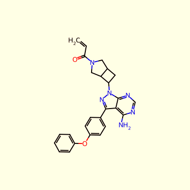 C=CC(=O)N1CC2CC(n3nc(-c4ccc(Oc5ccccc5)cc4)c4c(N)ncnc43)C2C1